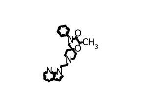 CC1OC2(CCN(CCn3ccc4cccnc43)CC2)CN(c2ccccc2)C1=O